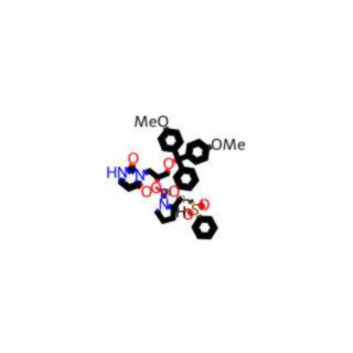 COc1ccc(C(OCC(Cn2c(=O)cc[nH]c2=O)O[P@@]2O[C@H](CS(=O)(=O)c3ccccc3)[C@@H]3CCCN32)(c2ccccc2)c2ccc(OC)cc2)cc1